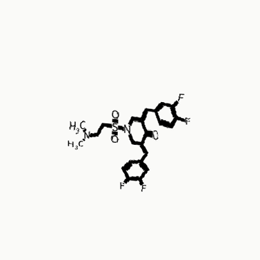 CN(C)CCS(=O)(=O)N1C/C(=C/c2ccc(F)c(F)c2)C(=O)/C(=C/c2ccc(F)c(F)c2)C1